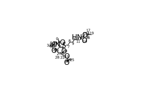 CC(=O)NC1[C@H](SCCCCCNC(=O)OC(C)(C)C)OC(COC(C)=O)[C@H](C)[C@H]1OC(C)=O